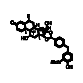 CNc1cc(Cc2ccc([C@@H]3O[C@@H]4CC5[C@@H]6C[C@H](F)C7=CC(=O)C=C[C@]7(C)[C@@]6(F)[C@@H](O)C[C@]5(C)[C@]4(C(=O)CO)O3)cc2)ccc1O